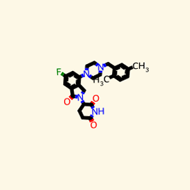 Cc1ccc(C)c(CN2CCN(c3cc(F)cc4c3CN(C3CCC(=O)NC3=O)C4=O)CC2)c1